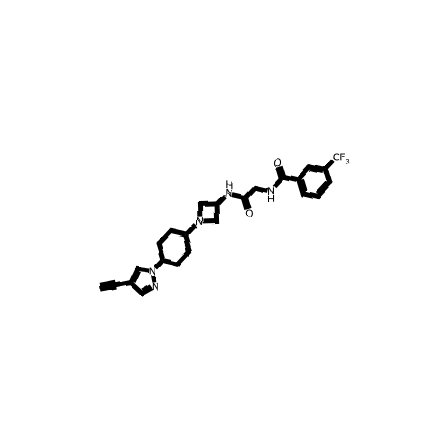 C#Cc1cnn(C2CCC(N3CC(NC(=O)CNC(=O)c4cccc(C(F)(F)F)c4)C3)CC2)c1